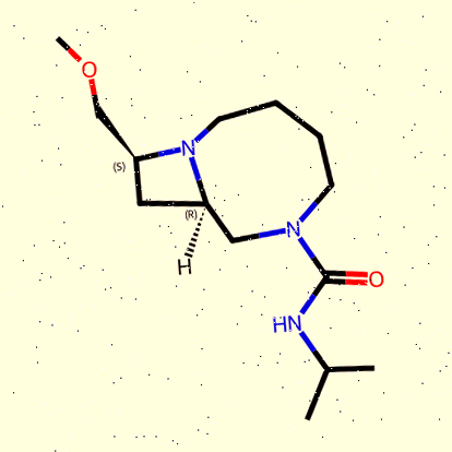 COC[C@@H]1C[C@@H]2CN(C(=O)NC(C)C)CCCCN12